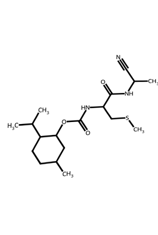 CSCC(NC(=O)OC1CC(C)CCC1C(C)C)C(=O)NC(C)C#N